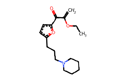 C=C(OCC)C(=O)c1ccc(CCCN2CCCCC2)o1